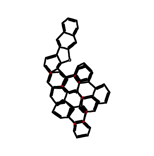 c1ccc(-c2ccccc2-c2cccc(N(c3ccccc3-c3ccccc3)c3ccccc3-c3ccccc3N(c3ccc(-c4cccc5c4oc4cc6ccccc6cc45)cc3)c3ccccc3-c3ccccc3)c2)cc1